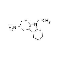 CCN1C2=C(CC(N)CC2)C2CCCCC21